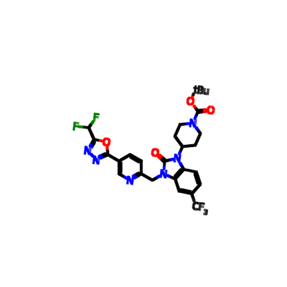 CC(C)(C)OC(=O)N1CCC(n2c(=O)n(Cc3ccc(-c4nnc(C(F)F)o4)cn3)c3cc(C(F)(F)F)ccc32)CC1